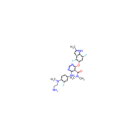 Cc1cc2c(F)c(Oc3ncnc(Nc4ccc(N(C)CCN)c(F)c4)c3C(=O)N(C)C)cc(F)c2[nH]1